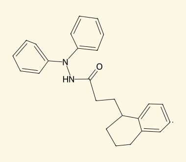 O=C(CCC1CCCc2c[c]ccc21)NN(c1ccccc1)c1ccccc1